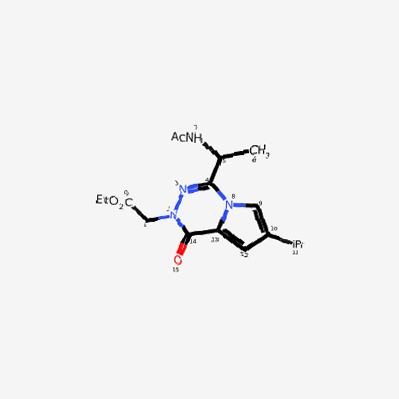 CCOC(=O)Cn1nc(C(C)NC(C)=O)n2cc(C(C)C)cc2c1=O